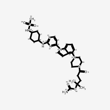 CC(C)(CCC(=O)N1CCN(c2cccc3c2ccn3-c2ccnc(NC3CCC(NS(C)(=O)=O)CC3)n2)CC1)OC(N)=O